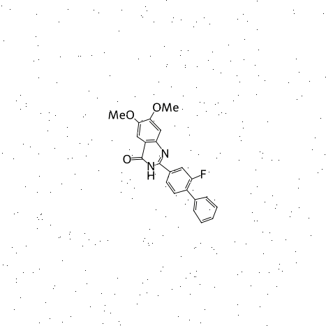 COc1cc2nc(-c3ccc(-c4ccccc4)c(F)c3)[nH]c(=O)c2cc1OC